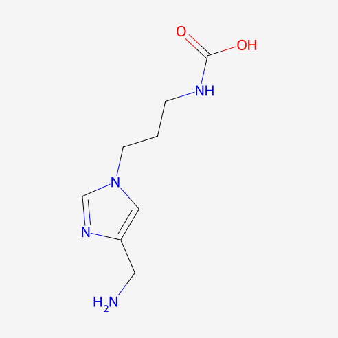 NCc1cn(CCCNC(=O)O)cn1